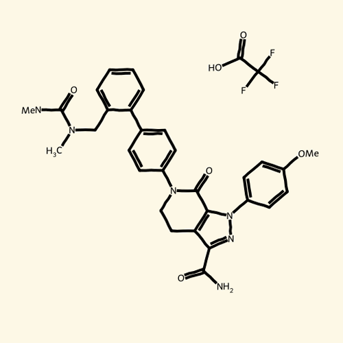 CNC(=O)N(C)Cc1ccccc1-c1ccc(N2CCc3c(C(N)=O)nn(-c4ccc(OC)cc4)c3C2=O)cc1.O=C(O)C(F)(F)F